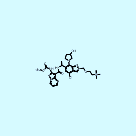 CC(NC(=O)c1c(NC(=O)OC(C)(C)C)nn2cccnc12)c1cc(Cl)c2cn(COCC[Si](C)(C)C)nc2c1N1CCC(O)C1